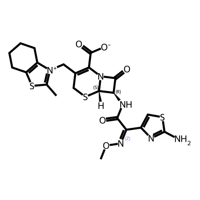 CO/N=C(\C(=O)N[C@@H]1C(=O)N2C(C(=O)[O-])=C(C[n+]3c(C)sc4c3CCCC4)CS[C@@H]12)c1csc(N)n1